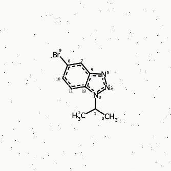 CC(C)n1nnc2cc(Br)ccc21